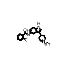 CCCN1CCC(c2c[nH]c3ccc(NC(=O)c4ccccc4Cl)cc23)CC1